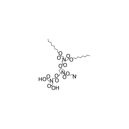 CCCCCCCCOC(=O)CN(CC(=O)OCCCCCCCC)CC(=O)O[C@@H]1C[C@H](COC(=O)CN(CC(=O)O)CC(=O)O)N(C(=O)OCCN(C)C)C1